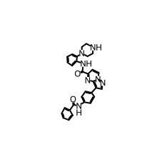 O=C(Nc1ccc(-c2cnn3ccc(C(=O)Nc4ccccc4N4CCNCC4)nc23)cc1)c1ccccc1